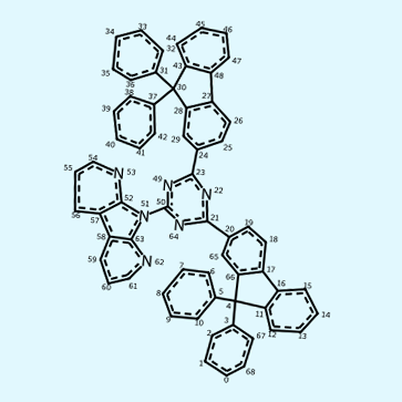 c1ccc(C2(c3ccccc3)c3ccccc3-c3ccc(-c4nc(-c5ccc6c(c5)C(c5ccccc5)(c5ccccc5)c5ccccc5-6)nc(-n5c6ncccc6c6cccnc65)n4)cc32)cc1